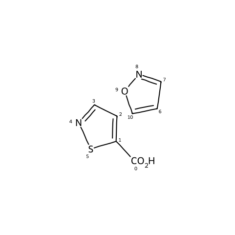 O=C(O)c1ccns1.c1cnoc1